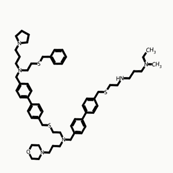 CCN(C)CCCNCCSCc1ccc(-c2ccc(CN(CCCN3CCOCC3)CCSCc3ccc(-c4ccc(CN(CCCN5CCCC5)CCSCc5ccccc5)cc4)cc3)cc2)cc1